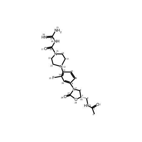 CC(=O)NC[C@H]1CN(c2ccc(N3CCN(C(=O)NC(=N)N)CC3)c(F)c2)C(=O)O1